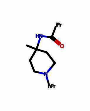 CCCN1CCC(C)(NC(=O)C(C)C)CC1